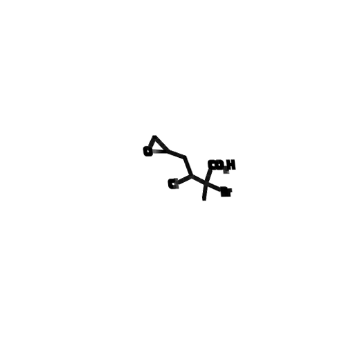 CC(Br)(C(=O)O)C(Cl)CC1CO1